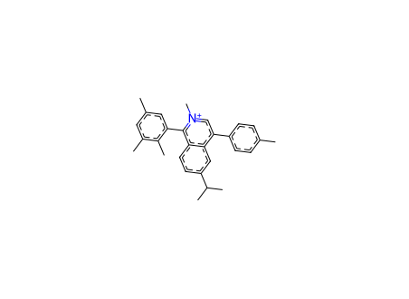 Cc1ccc(-c2c[n+](C)c(-c3cc(C)cc(C)c3C)c3ccc(C(C)C)cc23)cc1